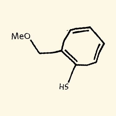 COCc1[c]cccc1S